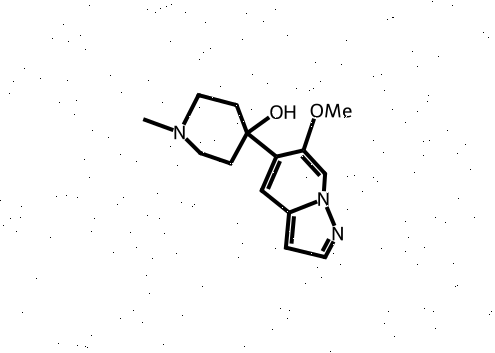 COc1cn2nccc2cc1C1(O)CCN(C)CC1